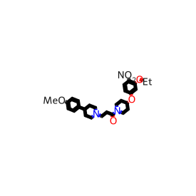 CCOc1cc(OC2CCN(C(=O)CCN3CCC(c4ccc(OC)cc4)CC3)CC2)ccc1[N+](=O)[O-]